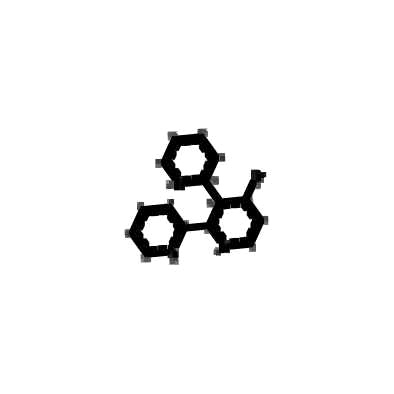 Brc1ccnc(-c2ccccn2)c1-c1ccccn1